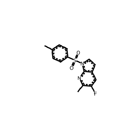 Cc1ccc(S(=O)(=O)n2ccc3cc(F)c(C)nc32)cc1